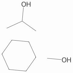 C1CCCCC1.CC(C)O.CO